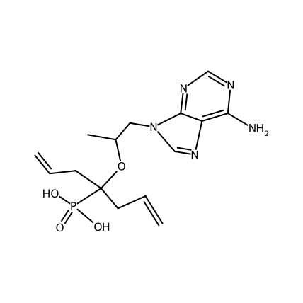 C=CCC(CC=C)(OC(C)Cn1cnc2c(N)ncnc21)P(=O)(O)O